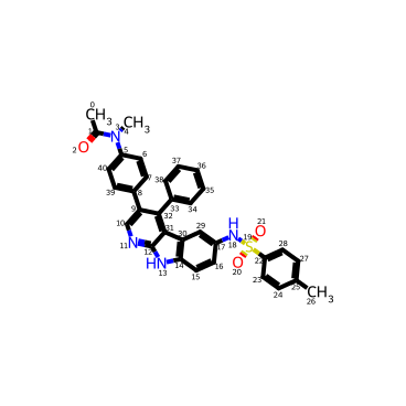 CC(=O)N(C)c1ccc(-c2cnc3[nH]c4ccc(NS(=O)(=O)c5ccc(C)cc5)cc4c3c2-c2ccccc2)cc1